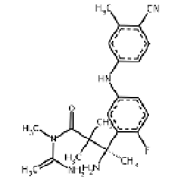 C=C(N)N(C)C(=O)C(C)(C)[C@](C)(N)c1cc(Nc2ccc(C#N)c(C)c2)ccc1F